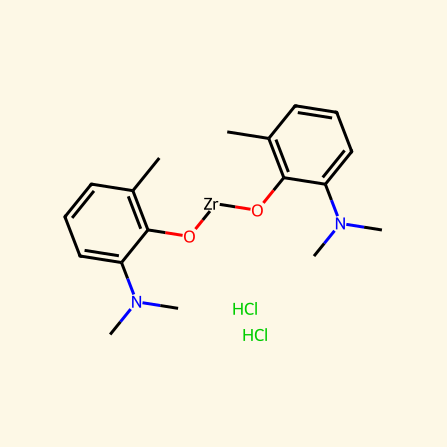 Cc1cccc(N(C)C)c1[O][Zr][O]c1c(C)cccc1N(C)C.Cl.Cl